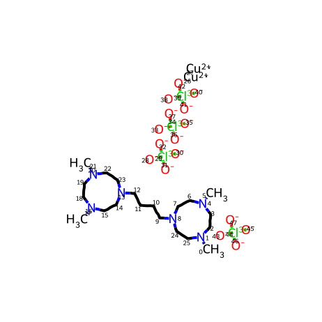 CN1CCN(C)CCN(CCCCN2CCN(C)CCN(C)CC2)CC1.[Cu+2].[Cu+2].[O-][Cl+3]([O-])([O-])[O-].[O-][Cl+3]([O-])([O-])[O-].[O-][Cl+3]([O-])([O-])[O-].[O-][Cl+3]([O-])([O-])[O-]